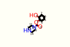 O=C(Oc1ccccc1O)N1CCNCC1